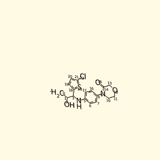 [CH2]C(O)C(Nc1ccc(N2CCOCC2=O)cc1)c1ccc(Cl)s1